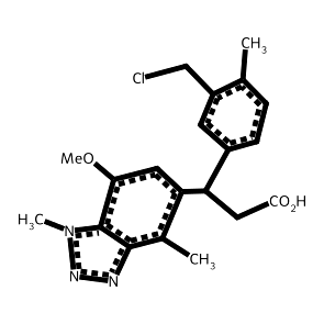 COc1cc(C(CC(=O)O)c2ccc(C)c(CCl)c2)c(C)c2nnn(C)c12